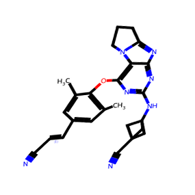 Cc1cc(/C=C/C#N)cc(C)c1Oc1nc(NC23CC(C#N)(C2)C3)nc2nc3n(c12)CCC3